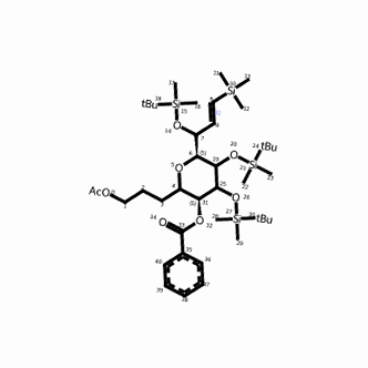 CC(=O)OCCCC1O[C@@H](C(/C=C/[Si](C)(C)C)O[Si](C)(C)C(C)(C)C)C(O[Si](C)(C)C(C)(C)C)C(O[Si](C)(C)C(C)(C)C)[C@H]1OC(=O)c1ccccc1